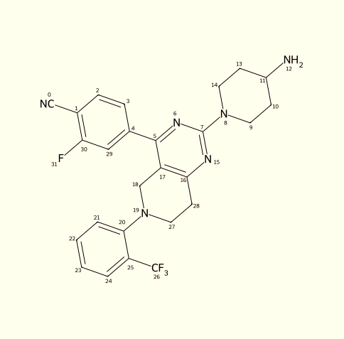 N#Cc1ccc(-c2nc(N3CCC(N)CC3)nc3c2CN(c2ccccc2C(F)(F)F)CC3)cc1F